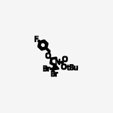 CC(C)(C)OC(=O)N1CC(OCc2ccc(F)cc2)CC12CC2(Br)Br